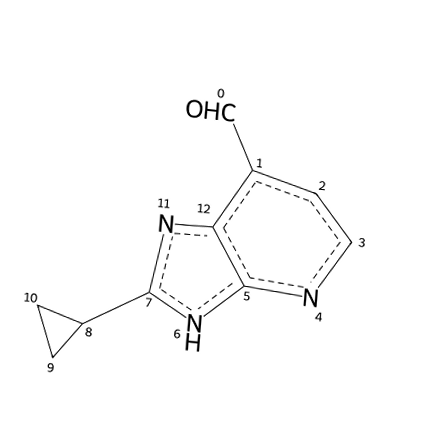 O=Cc1ccnc2[nH]c(C3CC3)nc12